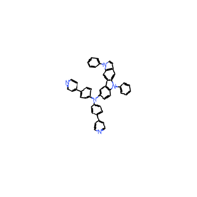 c1ccc(-n2ccc3cc4c(cc32)c2cc(N(c3ccc(-c5ccncc5)cc3)c3ccc(-c5ccncc5)cc3)ccc2n4-c2ccccc2)cc1